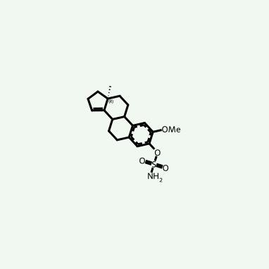 COc1cc2c(cc1OS(N)(=O)=O)CCC1C3=CCC[C@@]3(C)CCC21